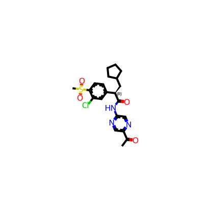 CC(=O)c1cnc(NC(=O)[C@H](CC2CCCC2)c2ccc(S(C)(=O)=O)c(Cl)c2)cn1